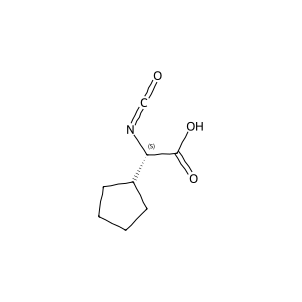 O=C=N[C@H](C(=O)O)C1CCCC1